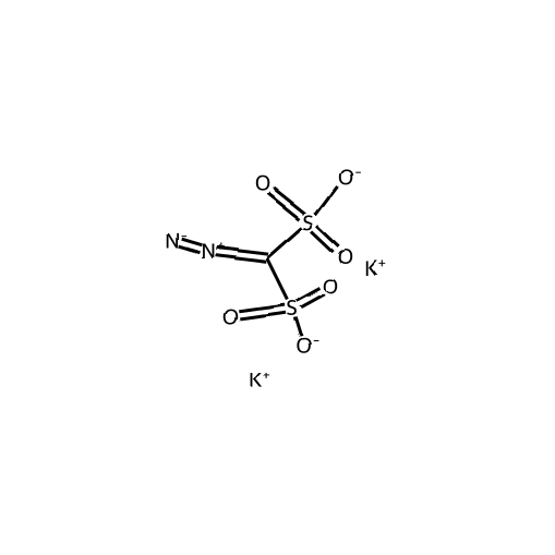 [K+].[K+].[N-]=[N+]=C(S(=O)(=O)[O-])S(=O)(=O)[O-]